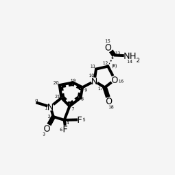 CN1C(=O)C(F)(F)c2cc(N3C[C@H](C(N)=O)OC3=O)ccc21